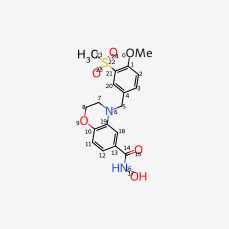 COc1ccc(CN2CCOc3ccc(C(=O)NO)cc32)cc1S(C)(=O)=O